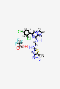 N#Cc1sc(NCCNc2nc(-c3ccc(Cl)cc3Cl)cn3ccnc23)nc1N.O=C(O)C(F)(F)F